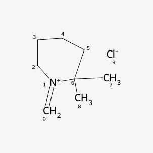 C=[N+]1CCCCC1(C)C.[Cl-]